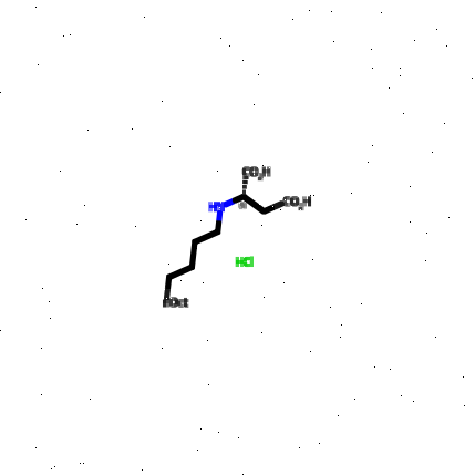 CCCCCCCCCCCCN[C@@H](CC(=O)O)C(=O)O.Cl